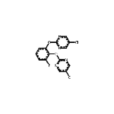 Fc1cccc(Oc2ncc(Cl)cn2)c1Oc1ncc(Cl)cn1